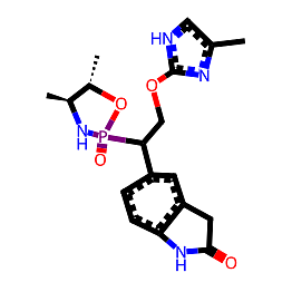 Cc1c[nH]c(OCC(c2ccc3c(c2)CC(=O)N3)P2(=O)N[C@@H](C)[C@H](C)O2)n1